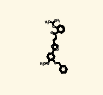 COc1ccc(-c2nc(C=CC(=O)c3ccccc3OC(C)C)co2)cc1OCc1ccccc1